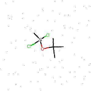 CC(C)(C)O[Si](C)(Cl)Cl